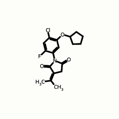 CC(C)=C1CC(=O)N(c2cc(OC3CCCC3)c(Cl)cc2F)C1=O